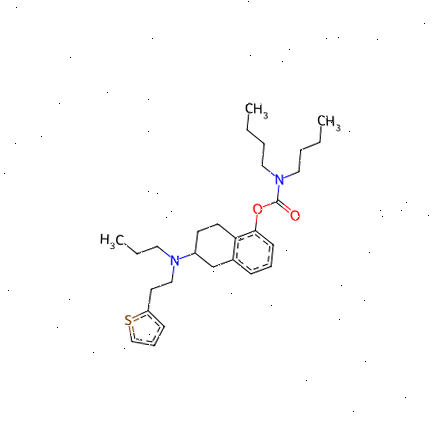 CCCCN(CCCC)C(=O)Oc1cccc2c1CCC(N(CCC)CCc1cccs1)C2